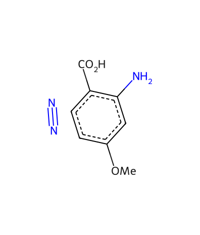 COc1ccc(C(=O)O)c(N)c1.N#N